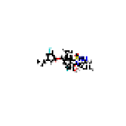 CC(C)(C)[Si](C)(C)N(C(=O)c1cc(C2CC2)c(COc2cc(F)cc(C(F)(F)F)c2)cc1F)S(=N)(=O)C1CC1